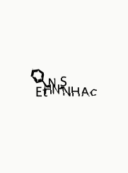 CCC(=NNC(=S)NC(C)=O)c1ccccc1